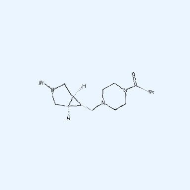 CC(C)C(=O)N1CCN(C[C@@H]2[C@H]3CN(C(C)C)C[C@@H]23)CC1